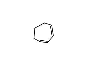 [CH]1CC=CC=CC1